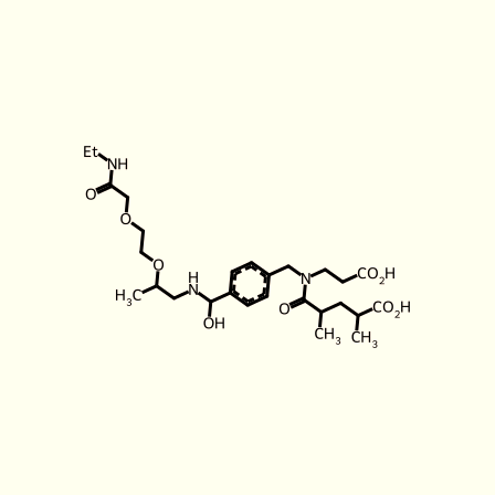 CCNC(=O)COCCOC(C)CNC(O)c1ccc(CN(CCC(=O)O)C(=O)C(C)CC(C)C(=O)O)cc1